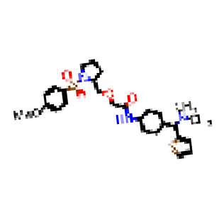 COc1ccc(S(=O)(=O)N2CCCC2COCC(=O)NC2CCC(C(c3cccs3)N(C)C)CC2)cc1